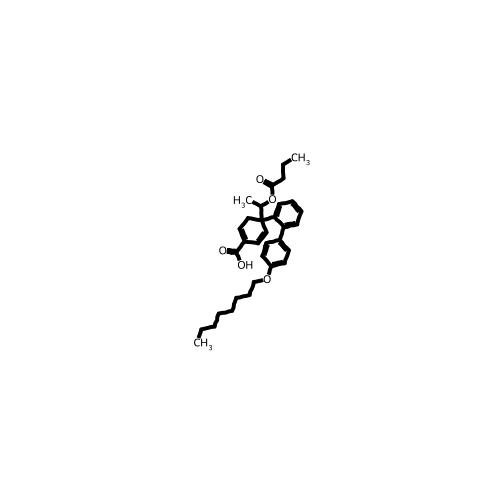 CCCCCCCCOc1ccc(-c2ccccc2C2(C(C)OC(=O)CCC)C=CC(C(=O)O)=CC2)cc1